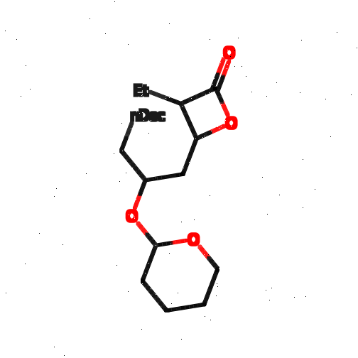 CCCCCCCCCCCC(CC1OC(=O)C1CC)OC1CCCCO1